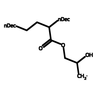 [CH2]C(O)COC(=O)C(CCCCCCCCCC)CCCCCCCCCCCC